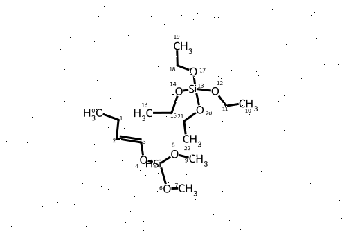 CCC=CO[SiH](OC)OC.CCO[Si](OCC)(OCC)OCC